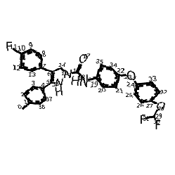 Cc1ccc(C2=C(c3ccc(F)cc3)CN(C(=O)Nc3ccc(Oc4ccc(OC(F)F)cc4)cc3)N2)cc1